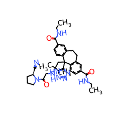 CCNC(=O)c1ccc2c(c1)CCc1cc(C(=O)NCC)ccc1C2(CC(C)(C)NCC(=O)N1CCC[C@H]1C#N)c1nnn[nH]1